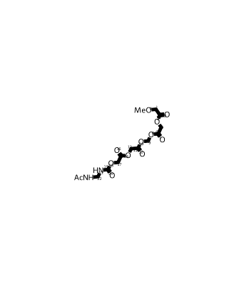 COCC(=O)OCC(=O)OCOC(=O)COC(=O)COC(=O)NCNC(C)=O